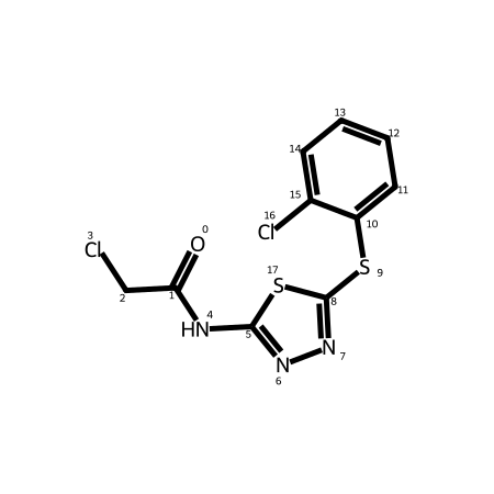 O=C(CCl)Nc1nnc(Sc2ccccc2Cl)s1